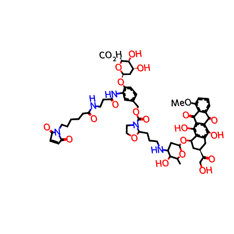 COc1cccc2c1C(=O)c1c(O)c3c(c(O)c1C2=O)C[C@@H](C(=O)CO)CC3OC1CC(NCCCC2OCCN2C(=O)OCc2ccc(O[C@H]3C[C@@H](O)[C@H](O)[C@@H](C(=O)O)O3)c(NC(=O)CCNC(=O)CCCCCN3C(=O)C=CC3=O)c2)C(O)C(C)O1